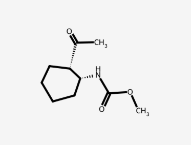 COC(=O)N[C@@H]1CCCC[C@@H]1C(C)=O